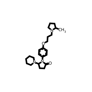 CC1CCCN1CCCOc1ccc(N2C(=O)CCC2N2CCCCC2)cc1